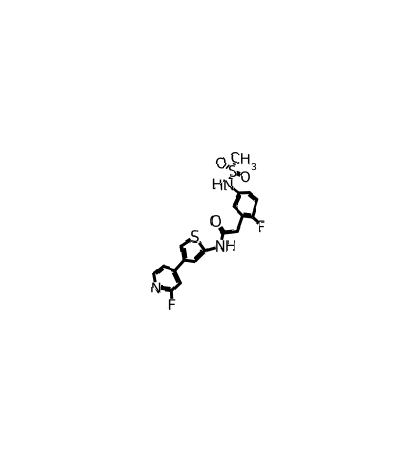 CS(=O)(=O)Nc1ccc(F)c(CC(=O)Nc2cc(-c3ccnc(F)c3)cs2)c1